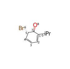 [CH2]C(C)C1=CC=C[C@H](Br)C1=O